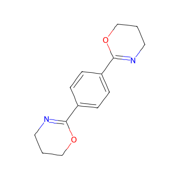 c1cc(C2=NCCCO2)ccc1C1=NCCCO1